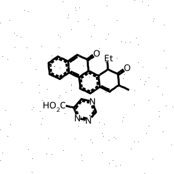 CCC1C(=O)C(C)C=c2ccc3c(c21)C(=O)C=c1ccccc1=3.O=C(O)c1cncnn1